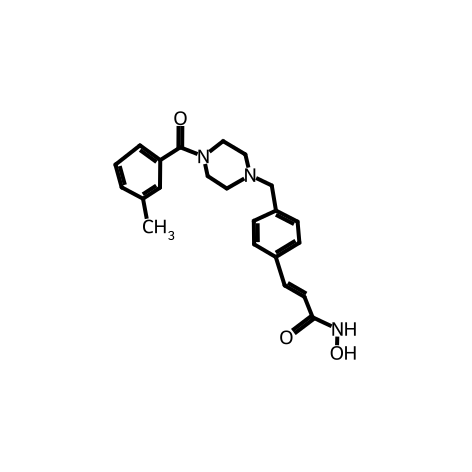 Cc1cccc(C(=O)N2CCN(Cc3ccc(/C=C/C(=O)NO)cc3)CC2)c1